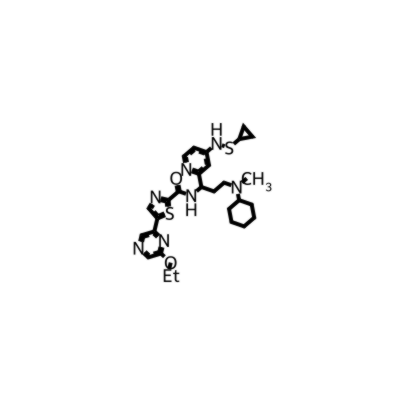 CCOc1cncc(-c2cnc(C(=O)NC(CCN(C)C3CCCCC3)c3cc(NSC4CC4)ccn3)s2)n1